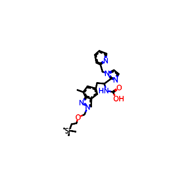 Cc1cc(CC(NC(=O)O)c2nccn2Cc2ccccn2)cc2cn(COCC[Si](C)(C)C)nc12